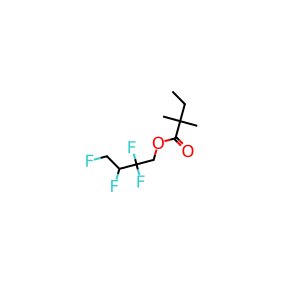 CCC(C)(C)C(=O)OCC(F)(F)C(F)CF